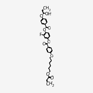 C=CC(=O)OCCCCCCOc1ccc(C(=O)Oc2ccc(OC(=O)c3ccc(OC(O)C=C)cc3)c(F)c2)cc1